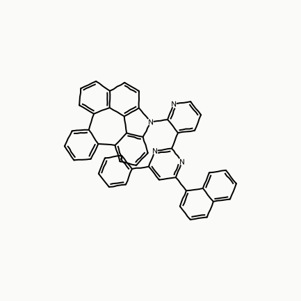 c1ccc(-c2cc(-c3cccc4ccccc34)nc(-c3cccnc3-n3c4cccc5c4c4c6c(cccc6ccc43)-c3ccccc3-5)n2)cc1